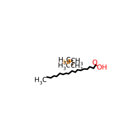 CCCCCCCCCCCCCCCCCC(=O)O.C[PH](C)(C)C